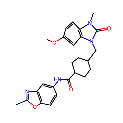 COc1ccc2c(c1)n(CC1CCC(C(=O)Nc3ccc4oc(C)nc4c3)CC1)c(=O)n2C